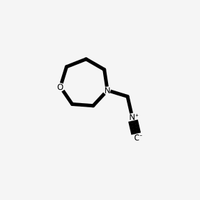 [C-]#[N+]CN1CCCOCC1